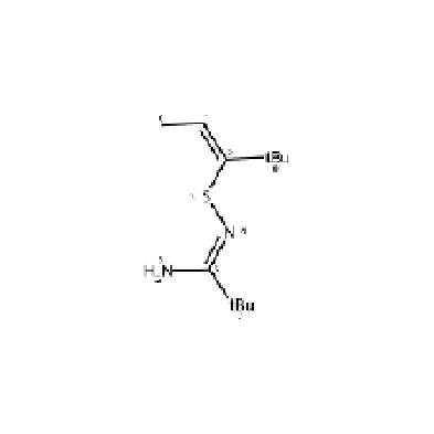 C/C=C(\S/N=C(\N)C(C)(C)C)C(C)(C)C